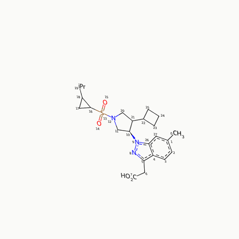 Cc1ccc2c(CC(=O)O)nn([C@H]3CN(S(=O)(=O)C4CC4C(C)C)CC3C3CCC3)c2c1